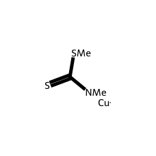 CNC(=S)SC.[Cu]